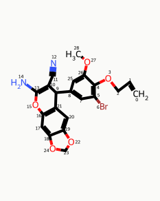 C=CCOc1c(Br)cc(C2C(C#N)=C(N)Oc3cc4c(cc32)OCO4)cc1OC